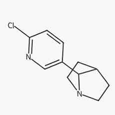 Clc1ccc(C2C3CCN2CC3)cn1